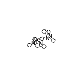 N#Cc1ccc(-c2nc(-c3ccccc3)nc3oc4ccccc4c23)cc1-n1c2ccccc2c2ccc3c(c4ccccc4n3-c3ccccc3)c21